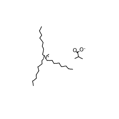 CC(C)C(=O)[O-].CCCCCCCC[N+](C)(CCCCCCCC)CCCCCCCC